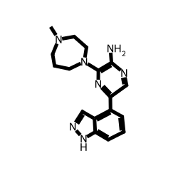 CN1CCCN(c2nc(-c3cccc4[nH]ncc34)cnc2N)CC1